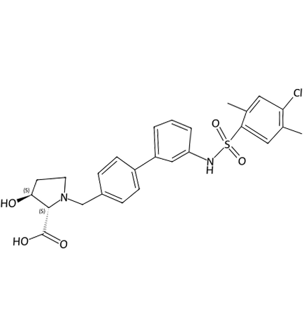 Cc1cc(S(=O)(=O)Nc2cccc(-c3ccc(CN4CC[C@H](O)[C@H]4C(=O)O)cc3)c2)c(C)cc1Cl